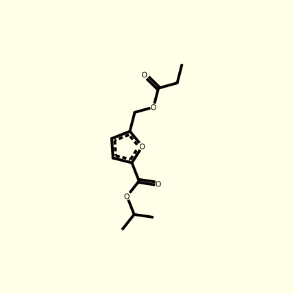 CCC(=O)OCc1ccc(C(=O)OC(C)C)o1